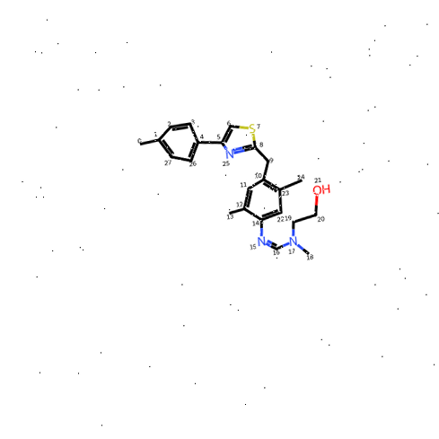 Cc1ccc(-c2csc(Cc3cc(C)c(/N=C\N(C)CCO)cc3C)n2)cc1